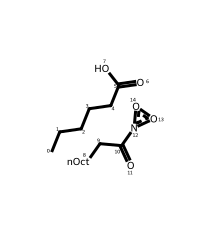 CCCCCC(=O)O.CCCCCCCCCC(=O)n1oo1